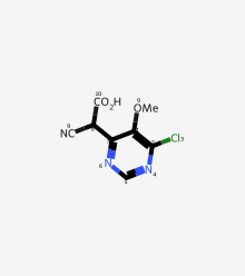 COc1c(Cl)ncnc1C(C#N)C(=O)O